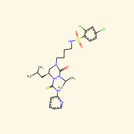 CC(C)C[C@@H](CN(CCCCNS(=O)(=O)c1ccc(Cl)cc1Cl)C(=O)NC(C)C)NC(=S)Nc1ccccn1